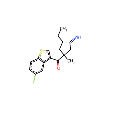 CCCCC(C)(CC=N)C(=O)c1csc2ccc(F)cc12